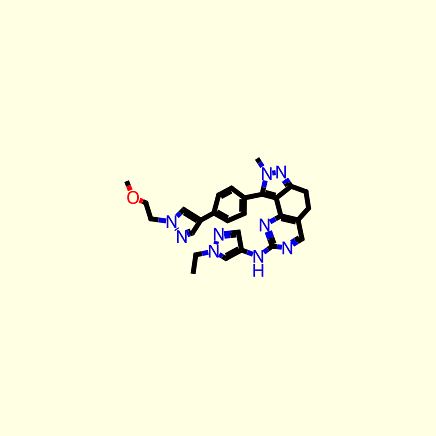 CCn1cc(Nc2ncc3c(n2)-c2c(nn(C)c2-c2ccc(-c4cnn(CCOC)c4)cc2)CC3)cn1